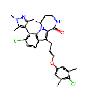 Cc1cc(OCCCc2c3n(c4c(-c5c(C)nn(C)c5C)c(Cl)ccc24)C(C)CCNC3=O)cc(C)c1Cl